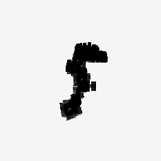 COc1cc2nccc(Oc3ccc(NCCCOc4ccccc4C)cc3)c2cc1OC